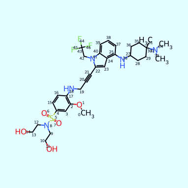 COc1cc(S(=O)(=O)N(CCO)CCO)ccc1NCC#Cc1cc2c(NC3CCC(C)(N(C)C)CC3)cccc2n1CC(F)(F)F